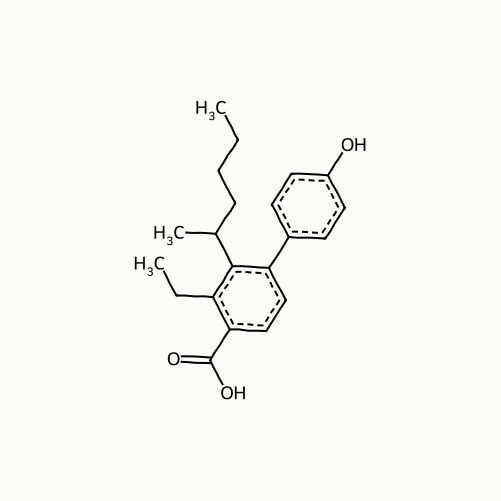 CCCCC(C)c1c(-c2ccc(O)cc2)ccc(C(=O)O)c1CC